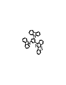 c1ccc2c(c1)sc1c3ccccc3c(-c3cc(-n4c5ccccc5c5ccccc54)cc(-n4c5ccccc5c5ccccc54)c3)nc21